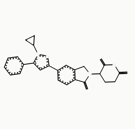 O=C1CCC(N2Cc3cc(-c4cc(-c5ccccc5)n(C5CC5)n4)ccc3C2=O)C(=O)N1